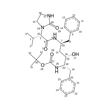 CC(C)[C@@H](C(=O)N[C@@H](Cc1ccccc1)C[C@H](O)[C@H](Cc1ccccc1)NC(=O)OC(C)(C)C)N1CCNC1=O